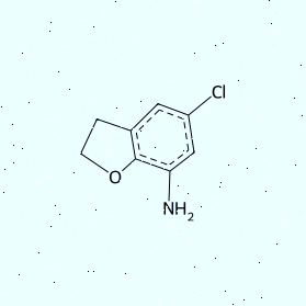 Nc1cc(Cl)cc2c1OCC2